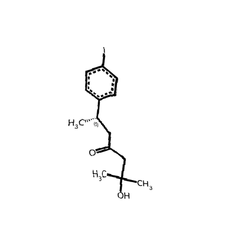 C[C@@H](CC(=O)CC(C)(C)O)c1ccc(I)cc1